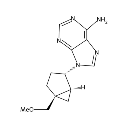 COC[C@@]12CC[C@H](n3cnc4c(N)ncnc43)[C@H]1C2